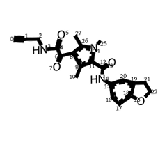 C#CCNC(=O)C(=O)c1c(C)c(C(=O)Nc2ccc3c(c2)CCO3)n(C)c1C